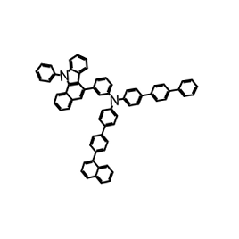 c1ccc(-c2ccc(-c3ccc(N(c4ccc(-c5ccc(-c6cccc7ccccc67)cc5)cc4)c4cccc(-c5cc6ccccc6c6c5c5ccccc5n6-c5ccccc5)c4)cc3)cc2)cc1